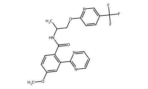 COc1ccc(C(=O)NC(C)COc2ccc(C(F)(F)F)cn2)c(-c2ncccn2)c1